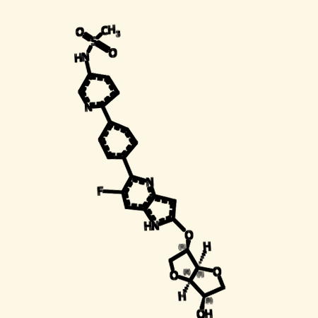 CS(=O)(=O)Nc1ccc(-c2ccc(-c3nc4cc(O[C@@H]5CO[C@H]6[C@@H]5OC[C@H]6O)[nH]c4cc3F)cc2)nc1